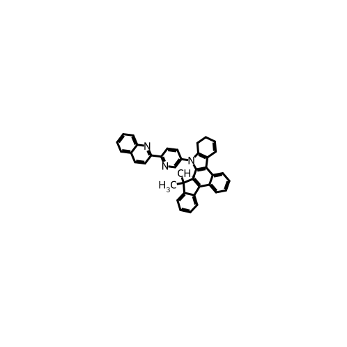 CC1(C)c2ccccc2-c2c1c1c(c3c(n1-c1ccc(-c4ccc5ccccc5n4)nc1)CCC=C3)c1ccccc21